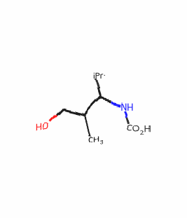 C[C](C)C(NC(=O)O)C(C)CO